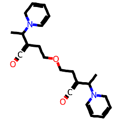 CC(C(=C=O)CCOCCC(=C=O)C(C)N1C=CC=CC1)N1C=CC=CC1